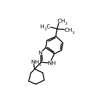 CC(C)(C)c1ccc2[nH]c(C3(N)CCCCC3)nc2c1